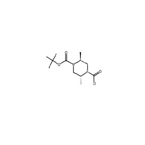 C[C@@H]1CN(C(=O)OC(C)(C)C)[C@@H](C)CN1C(=O)Cl